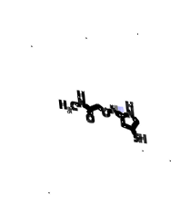 CNC(=O)CO/N=C1\CC(S)CN1